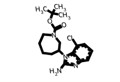 CC(C)(C)OC(=O)N1CCCCC(n2c(N)nc3cccc(Cl)c32)C1